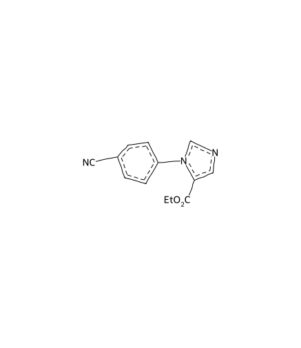 CCOC(=O)c1cncn1-c1ccc(C#N)cc1